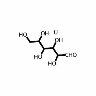 O=CC(O)C(O)C(O)C(O)CO.[U]